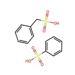 O=S(=O)(O)Cc1ccccc1.O=S(=O)(O)c1ccccc1